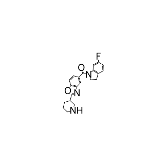 O=C(c1ccc2oc(C3CCCNC3)nc2c1)N1CCc2ccc(F)cc21